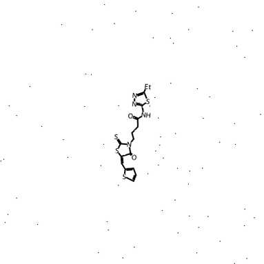 CCc1nnc(NC(=O)CCCN2C(=O)/C(=C\c3cccs3)SC2=S)s1